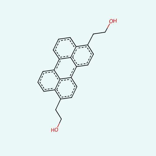 OCCc1ccc2c3ccc(CCO)c4cccc(c5cccc1c52)c43